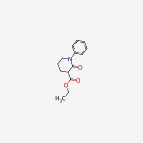 CCOC(=O)C1CCCN(c2ccccc2)C1=O